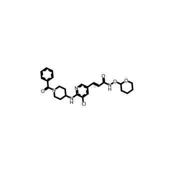 O=C(/C=C/c1cnc(NC2CCN(C(=O)c3ccccc3)CC2)c(Cl)c1)NOC1CCCCO1